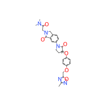 Cc1noc(COc2ccc(O[C@@H]3CCN(c4ccc5c(c4)C(=O)N(CC(=O)N(C)C)C5)C3=O)cc2)n1